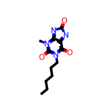 CCCCCCn1c(=O)c2c(n(C)c1=O)=NC(=O)N=2